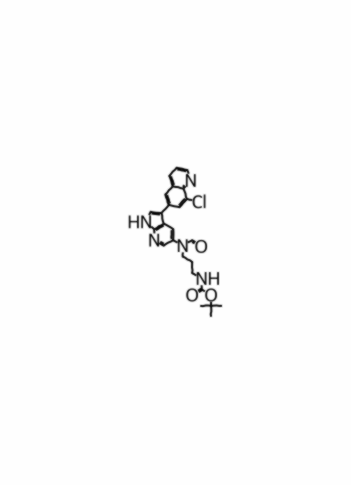 CC(C)(C)OC(=O)NCCCN(C=O)c1cnc2[nH]cc(-c3cc(Cl)c4ncccc4c3)c2c1